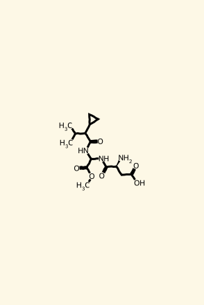 COC(=O)C(NC(=O)C(C(C)C)C1CC1)NC(=O)[C@@H](N)CC(=O)O